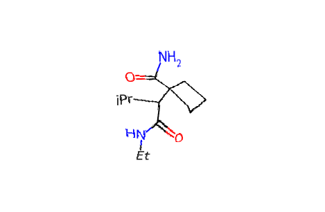 CCNC(=O)C(C(C)C)C1(C(N)=O)CCC1